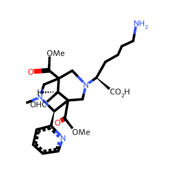 COC(=O)C12CN(C)[C@H](c3ccccn3)C(C(=O)OC)(CN([C@@H](CCCCN)C(=O)O)C1)[C@H]2C=O